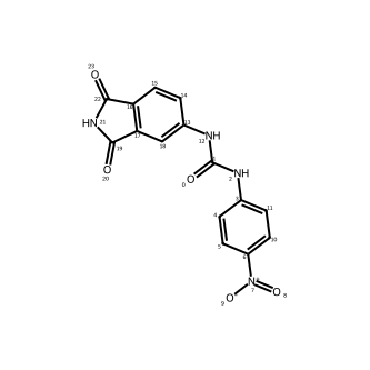 O=C(Nc1ccc([N+](=O)[O-])cc1)Nc1ccc2c(c1)C(=O)NC2=O